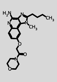 CCCCc1nc2c(N)nc3ccc(OCC(=O)N4CCOCC4)cc3c2n1C